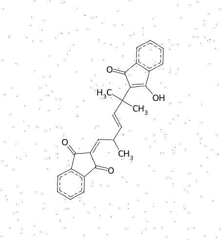 CC(C=CC(C)(C)C1=C(O)c2ccccc2C1=O)C=C1C(=O)c2ccccc2C1=O